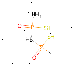 BP(=O)(S)BP(C)(=O)S